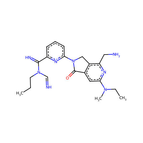 CCCN(C=N)C(=N)c1cccc(N2Cc3c(cc(N(C)CC)nc3CN)C2=O)n1